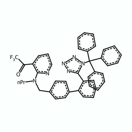 CCCN(Cc1ccc(-c2ccccc2-c2nnnn2C(c2ccccc2)(c2ccccc2)c2ccccc2)cc1)c1ncccc1C(=O)C(F)(F)F